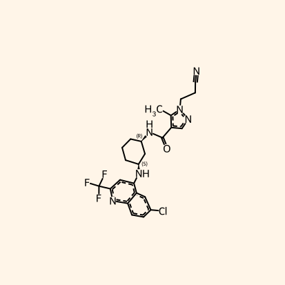 Cc1c(C(=O)N[C@@H]2CCC[C@H](Nc3cc(C(F)(F)F)nc4ccc(Cl)cc34)C2)cnn1CCC#N